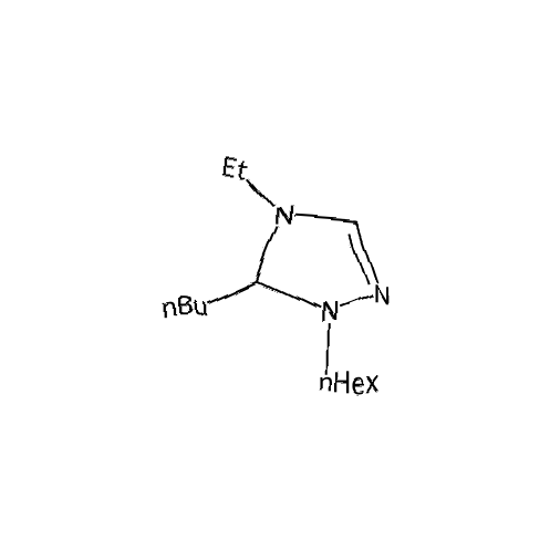 CCCCCCN1N=CN(CC)C1CCCC